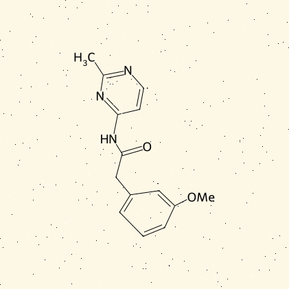 COc1cccc(CC(=O)Nc2c[c]nc(C)n2)c1